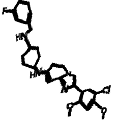 COc1cc(OC)c(-c2cn3ccc(NC4CCC(NCc5cccc(F)c5)CC4)cc3n2)cc1Cl